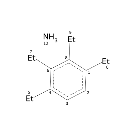 CCc1ccc(CC)c(CC)c1CC.N